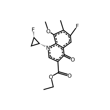 CCOC(=O)c1cn([C@@H]2C[C@@H]2F)c2c(OC)c(C)c(F)cc2c1=O